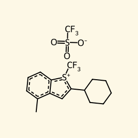 Cc1cccc2c1cc(C1CCCCC1)[s+]2C(F)(F)F.O=S(=O)([O-])C(F)(F)F